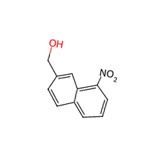 O=[N+]([O-])c1cccc2ccc(CO)cc12